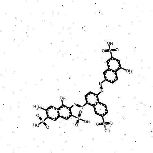 Nc1cc2c(O)c(N=Nc3ccc(N=Nc4ccc5c(O)cc(S(=O)(=O)O)cc5c4)c4ccc(S(=O)(=O)O)cc34)c(S(=O)(=O)O)cc2cc1S(=O)(=O)O